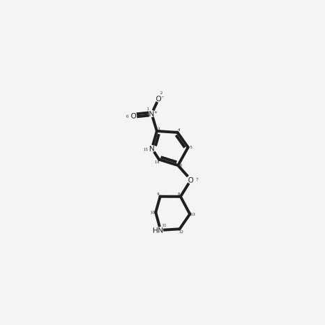 O=[N+]([O-])c1ccc(OC2CCNCC2)cn1